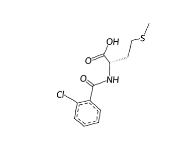 CSCC[C@H](NC(=O)c1ccccc1Cl)C(=O)O